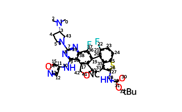 CN(C)[C@H]1CCN(c2nc(Nc3cnoc3)c3c4c(c(-c5c(F)ccc6sc(NC(=O)OC(C)(C)C)c(C#N)c56)c(F)c3n2)COC4)C1